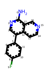 Nc1ncc(-c2ccc(F)cc2)c2ccncc12